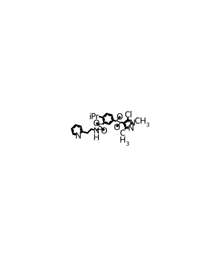 Cc1nn(C)c(Cl)c1S(=O)(=O)c1ccc(C(C)C)c(S(=O)(=O)NCCc2ccccn2)c1